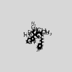 CCc1c(C)nc2c(c1-c1cc(F)c3c(c1C)CCCO3)CN(CCCc1ccccc1)CC2(C)C